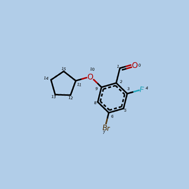 O=Cc1c(F)cc(Br)cc1OC1CCCC1